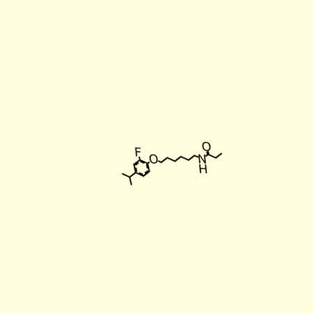 CCC(=O)NCCCCCCOc1ccc(C(C)C)cc1F